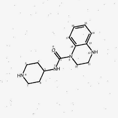 O=C(NC1CCNCC1)N1CCNc2ccccc21